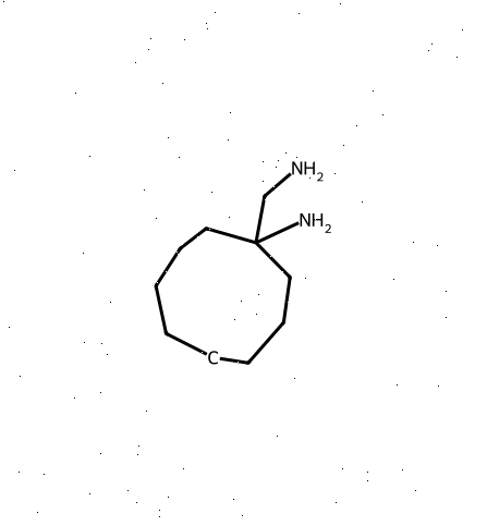 NCC1(N)CCCCCCCC1